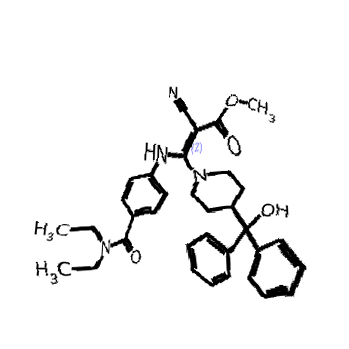 CCN(CC)C(=O)c1ccc(N/C(=C(\C#N)C(=O)OC)N2CCC(C(O)(c3ccccc3)c3ccccc3)CC2)cc1